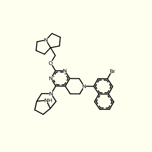 Brc1cc(N2CCc3c(nc(OCC45CCCN4CCC5)nc3N3CC4CCC(C3)N4)C2)c2ccccc2c1